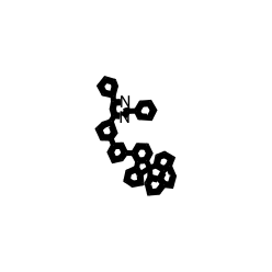 c1ccc(-c2cc(-c3cccc(-c4cccc(-c5cccc6c5-c5ccccc5C65c6cccc7ccc8cccc5c8c67)c4)c3)nc(-c3ccccc3)n2)cc1